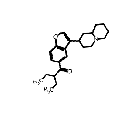 CCC(CC)C(=O)c1ccc2occ(C3CCN4CCCCC4C3)c2c1